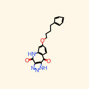 O=c1[nH]c2cc(OCCCCc3ccccc3)ccc2c(=O)c2[nH]nnc12